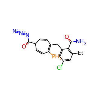 CCc1cc(Cl)cc(CC2=C(P)C=CC(C(=O)N=[N+]=[N-])C=C2)c1C(N)=O